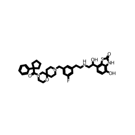 O=C(N1CCOC2(CCN(Cc3cc(F)cc(CCNCC(O)c4ccc(O)c5[nH]c(=O)sc45)c3)CC2)C1)C1(c2ccccc2)CCCC1